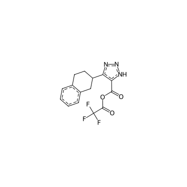 O=C(OC(=O)C(F)(F)F)c1[nH]nnc1C1CCc2ccccc2C1